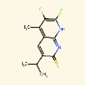 Cc1c2cc(C(C)C)c(=S)nc-2[nH]c(F)c1F